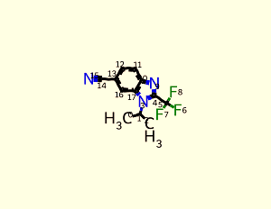 CC(C)n1c(C(F)(F)F)nc2ccc(C#N)cc21